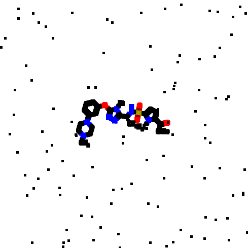 CCn1c(Oc2cccc(N3CCN(C)CC3)c2)nnc1[C@@H](C)NS(=O)(=O)c1ccc(C(=O)OC)n1C